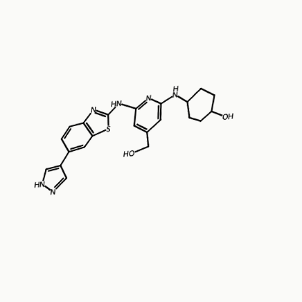 OCc1cc(Nc2nc3ccc(-c4cn[nH]c4)cc3s2)nc(NC2CCC(O)CC2)c1